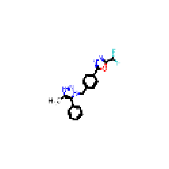 Cc1nnn(Cc2ccc(-c3nnc(C(F)F)o3)cc2)c1-c1ccccc1